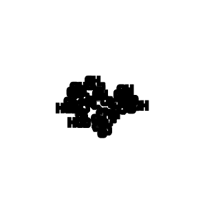 CC[N+]1=C(/C=C/C(C)=C/C=C2/N(CCCC(=O)ON3C(=O)CCC3=O)c3ccc4c(S(=O)(=O)O)cc(S(=O)(=O)O)cc4c3C2(C)CCOCCOCCOC)C(C)(CCCS(=O)(=O)O)c2c1ccc1c(S(=O)(=O)O)cc(S(=O)(=O)O)cc21